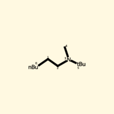 CCCCCCN(C)C(C)(C)C